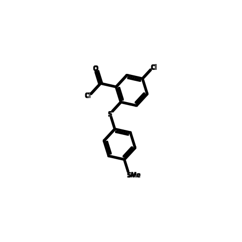 CSc1ccc(Sc2ccc(Cl)cc2C(=O)Cl)cc1